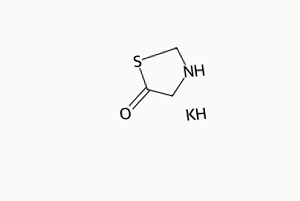 O=C1CNCS1.[KH]